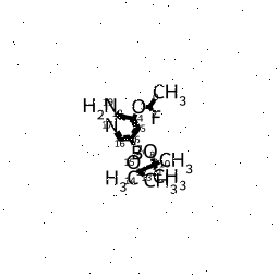 CC(F)Oc1cc(B2OC(C)(C)C(C)(C)O2)cnc1N